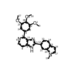 COc1cc(-c2nccc3[nH]c(-c4ccc5ccn(C)c5c4)nc23)cc(OC)c1OC